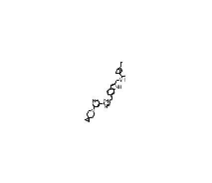 CC(NCc1cc2ccc(Cn3cnc(-c4cncc(N5CCC6(CC5)CC6)c4)n3)cc2[nH]1)C12CC(F)C(C1)C2